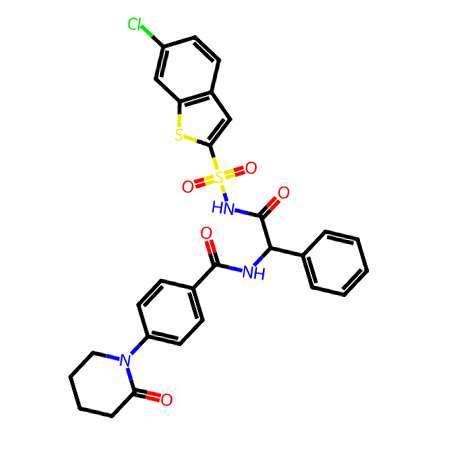 O=C(NC(C(=O)NS(=O)(=O)c1cc2ccc(Cl)cc2s1)c1ccccc1)c1ccc(N2CCCCC2=O)cc1